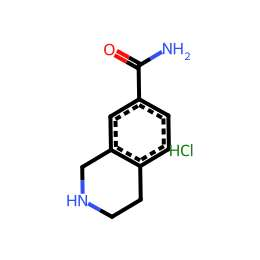 Cl.NC(=O)c1ccc2c(c1)CNCC2